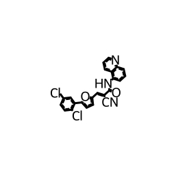 N#CC(=Cc1ccc(-c2cc(Cl)ccc2Cl)o1)C(=O)Nc1cccc2ncccc12